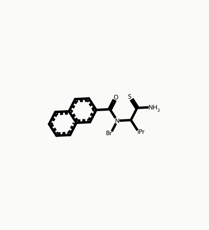 CC(C)C(C(N)=S)N(Br)C(=O)c1ccc2ccccc2c1